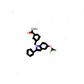 COC(=O)c1cccc(Cn2c(-c3ccccc3)cc3cc(OC(F)F)ccc32)c1